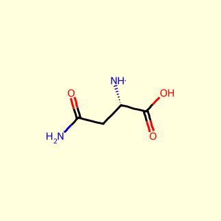 [NH][C@@H](CC(N)=O)C(=O)O